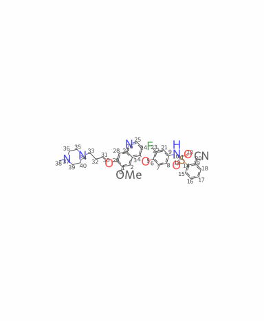 COc1cc2c(Oc3ccc(NS(=O)(=O)c4ccccc4C#N)cc3F)ccnc2cc1OCCCN1CCN(C)CC1